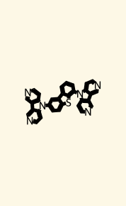 c1cc(-n2c3ccncc3c3cnccc32)c2sc3ccc(-n4c5ccncc5c5cnccc54)cc3c2c1